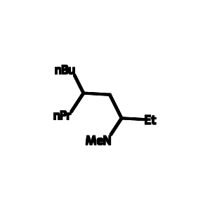 CCCCC(CCC)CC(CC)NC